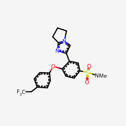 CNS(=O)(=O)c1ccc(Oc2ccc(CC(F)(F)F)cc2)c(-c2cn3c(n2)CCC3)c1